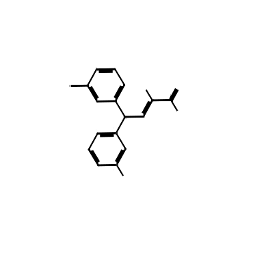 C/C(=C\C(c1cccc(C)c1)c1cccc(Cl)c1)C(=O)O